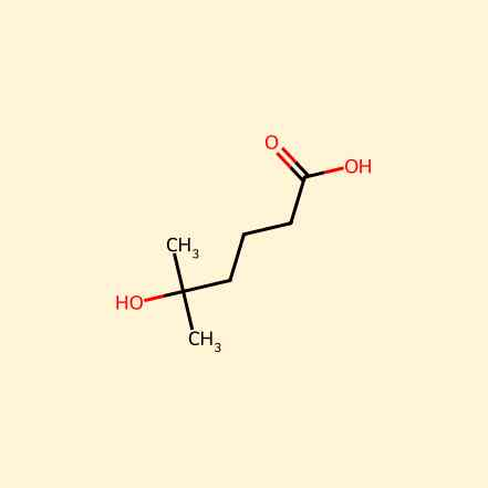 CC(C)(O)CCCC(=O)O